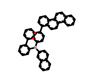 c1ccc(-c2ccccc2N(c2ccc(-c3cccc4c3ccc3c5ccccc5ccc43)cc2)c2ccc3ccccc3c2)cc1